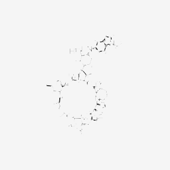 C=CCC1/C=C(\C)CC(C)CC(OC)C2OC(O)(C(=O)C(=O)N3CCCCC3C(=O)OC(C(C)=CC3CCC(Nc4ccc5c(ccn5CC)c4)C(O)C3)C(C)C(O)CC1=O)C(C)CC2OC